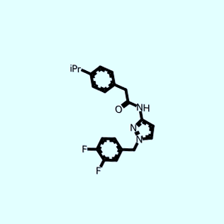 CC(C)c1ccc(CC(=O)Nc2ccn(Cc3ccc(F)c(F)c3)n2)cc1